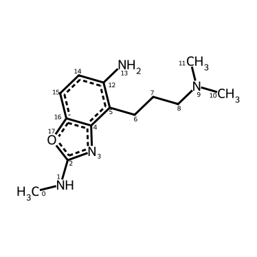 CNc1nc2c(CCCN(C)C)c(N)ccc2o1